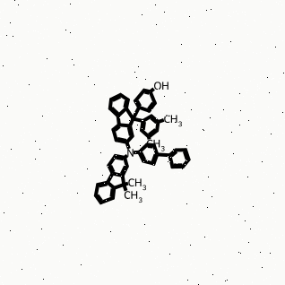 Cc1cc(C)cc(C2(c3ccc(O)cc3)c3ccccc3-c3ccc(N(c4ccc(-c5ccccc5)cc4)c4ccc5c(c4)C(C)(C)c4ccccc4-5)cc32)c1